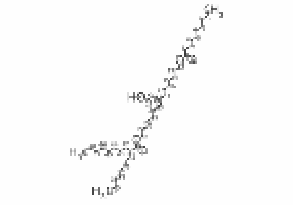 CCCCCCCCCC(=O)OCCCCCCCN(CCO)CCCCCCCOC(=O)C(CCCCCCCC)CCCCCCCC